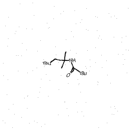 CC(C)(C)CC(C)(C)NC(=O)C(C)(C)C